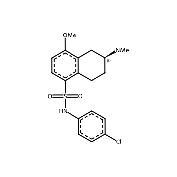 CN[C@H]1CCc2c(S(=O)(=O)Nc3ccc(Cl)cc3)ccc(OC)c2C1